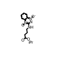 CC(C)OC(=O)CCCNc1n[n+]([O-])c2ccccc2[n+]1[O-]